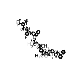 CNC(CN1CCC(OC(=O)Nc2ccccc2-c2ccccc2)CC1)C(=O)[C@H](C)N(C)c1ccc(C(=O)N(C)CCCN(C)C(=O)CO[C@H]2Cc3ccccc3C23CCN(CC[C@]2(c4ccc(F)cc4)CN(C(=O)c4cc(C(F)(F)F)cc(C(F)(F)F)c4)CO2)CC3)cc1